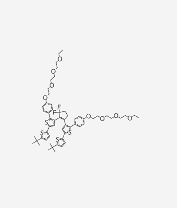 CCOCCOCCOCCOc1ccc(-c2sc(-c3ccc(C(C)(C)C)s3)cc2C2=C(c3cc(-c4ccc(C(C)(C)C)s4)sc3-c3ccc(OCCOCCOCCOCC)cc3)C(F)(F)CC2)cc1